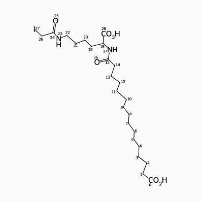 O=C(O)CCCCCCCCCCCCCCC(=O)NC(CCCCNC(=O)CI)C(=O)O